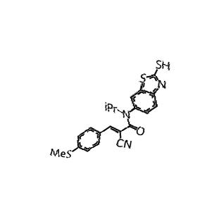 CSc1ccc(C=C(C#N)C(=O)N(c2ccc3nc(S)sc3c2)C(C)C)cc1